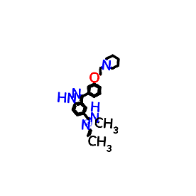 CC=C/N=C(\NC)c1ccc2[nH]nc(-c3cccc(OCCN4CCCCC4)c3)c2c1